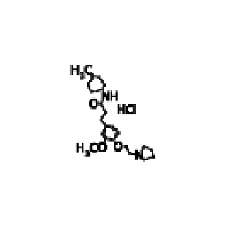 COc1cc(CCC(=O)NC2CCC(C)CC2)ccc1OCCN1CCCC1.Cl